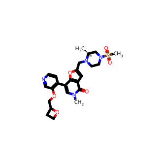 C[C@@H]1CN(S(C)(=O)=O)CCN1Cc1cc2c(=O)n(C)cc(-c3ccncc3OCC3CCO3)c2o1